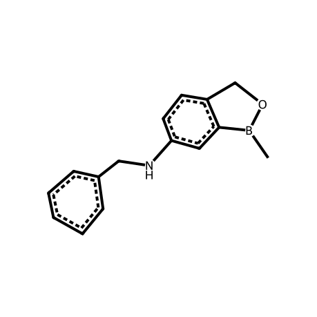 CB1OCc2ccc(NCc3ccccc3)cc21